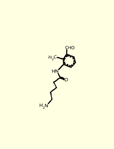 Cc1c(C=O)cccc1NC(=O)CCCCN